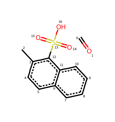 C=O.Cc1ccc2ccccc2c1S(=O)(=O)O